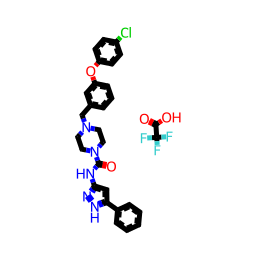 O=C(Nc1cc(-c2ccccc2)[nH]n1)N1CCN(Cc2cccc(Oc3ccc(Cl)cc3)c2)CC1.O=C(O)C(F)(F)F